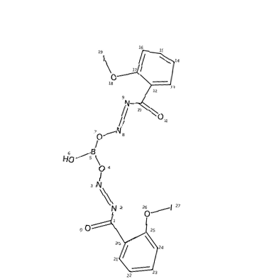 O=C(N=NOB(O)ON=NC(=O)c1ccccc1OI)c1ccccc1OI